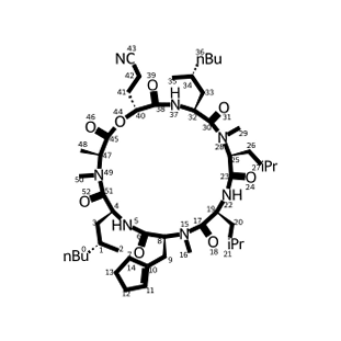 CCCC[C@@H](C)C[C@@H]1NC(=O)[C@H](CC2=CCCC2)N(C)C(=O)[C@H](CC(C)C)NC(=O)[C@H](CC(C)C)N(C)C(=O)[C@H](C[C@H](C)CCCC)NC(=O)[C@@H](CCC#N)OC(=O)[C@H](C)N(C)C1=O